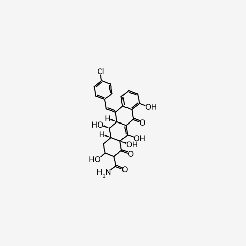 NC(=O)C1C(=O)[C@@]2(O)C(O)=C3C(=O)c4c(O)cccc4/C(=C\c4ccc(Cl)cc4)[C@H]3[C@H](O)[C@H]2CC1O